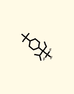 CCC(C(C)C)(C1CCC(C(C)(C)C)CC1)C(F)(F)F